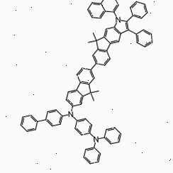 CC1(C)c2cc(-c3ccc4c(c3)C(C)(C)c3cc5c(cc3-4)c(-c3ccccc3)c(-c3ccccc3)n5-c3cccc4ccccc34)ccc2-c2ccc(N(c3ccc(-c4ccccc4)cc3)c3ccc(N(c4ccccc4)c4ccccc4)cc3)cc21